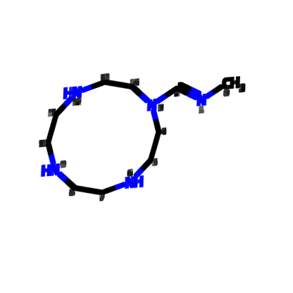 CN=CN1CCNCCNCCNCC1